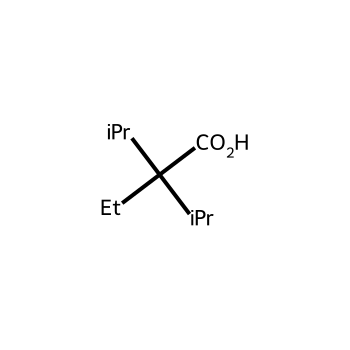 CCC(C(=O)O)(C(C)C)C(C)C